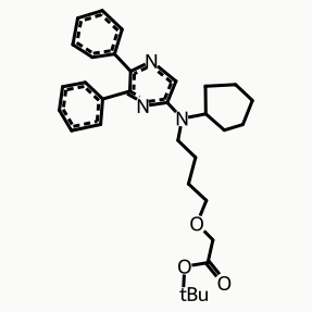 CC(C)(C)OC(=O)COCCCCN(c1cnc(-c2ccccc2)c(-c2ccccc2)n1)C1CCCCC1